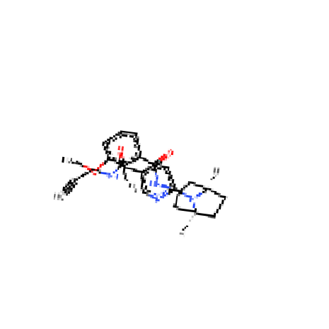 C#CCNC(=O)c1ccc(N2[C@@H]3CC[C@H]2C[C@@H](NC(=O)c2cccc(OC)c2C)C3)nc1